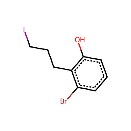 Oc1cccc(Br)c1CCCI